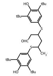 [CH2]C(CC(CC=O)Sc1cc(C(C)(C)C)c(O)c(C(C)(C)C)c1)Sc1cc(C(C)(C)C)c(O)c(C(C)(C)C)c1